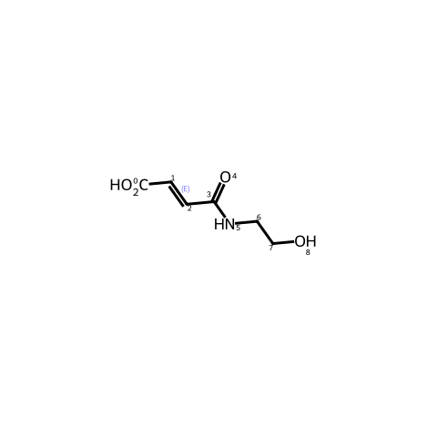 O=C(O)/C=C/C(=O)NCCO